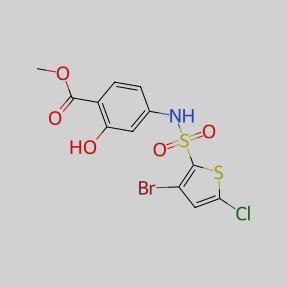 COC(=O)c1ccc(NS(=O)(=O)c2sc(Cl)cc2Br)cc1O